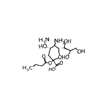 CCCC(=O)OC1(C(=O)O)C[C@H](O)[C@@H](N)[C@H](C(O)C(O)CO)O1.N